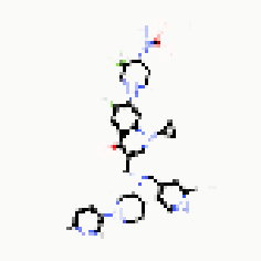 Cc1ccc(N2CCC[C@H](N(Cc3ccnc(C)c3)Cc3cn(C4CC4)c4cc(N5CC[C@H](NC(=O)OC(C)(C)C)C(F)(F)C5)c(F)cc4c3=O)C2)cn1